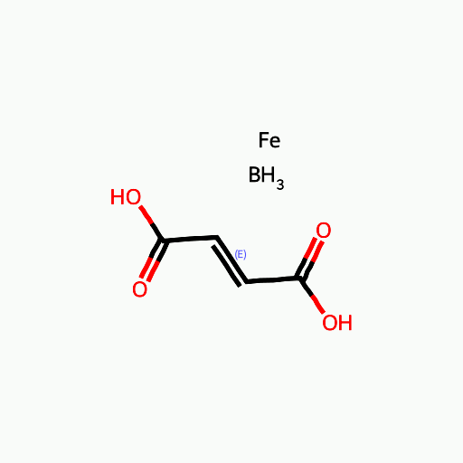 B.O=C(O)/C=C/C(=O)O.[Fe]